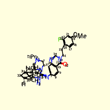 CCCN1CCN(C(=Nc2ccc3c(=O)n(CCc4ccc(OC)cc4F)cnc3c2)NC2C[C@H]3C[C@H]([C@H]2C)C3(C)C)CC1